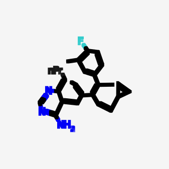 C/C=C(\C=c1\c(N)ncn\c1=C/CCC)C(/C=C\C1C=C1)=C(/C)c1ccc(F)c(C)c1